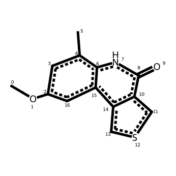 COc1cc(C)c2[nH]c(=O)c3cscc3c2c1